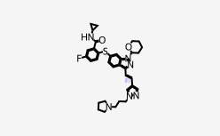 O=C(NC1CC1)c1cc(F)ccc1Sc1ccc2c(/C=C/c3cnn(CCCN4CCCC4)c3)nn(C3CCCCO3)c2c1